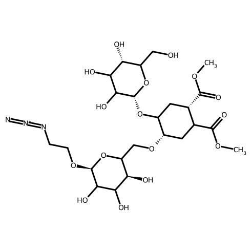 COC(=O)C1C[C@H](OCC2O[C@H](OCCN=[N+]=[N-])C(O)C(O)[C@@H]2O)C(O[C@H]2OC(CO)[C@@H](O)C(O)C2O)C[C@@H]1C(=O)OC